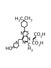 Cc1nc(CN2CC[C@H](O)C2)c2nc(C3CCC(C)(C)CC3)sc2n1.O=C(O)/C=C/C(=O)O